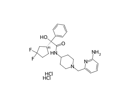 Cl.Cl.Nc1cccc(CN2CCC(NC(=O)C(O)(c3ccccc3)[C@@H]3CCC(F)(F)C3)CC2)n1